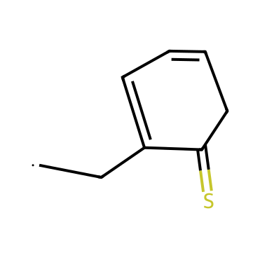 [CH2]CC1=CC=CCC1=S